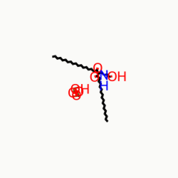 CCCCCCCCCCCCCCCCCC(=O)C(CNCCO)C(=O)CCCCCCCCCCCCCCCCC.COS(=O)(=O)O